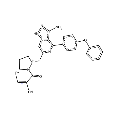 CC(C)/C=C(/C#N)C(=O)N1CCC[C@@H]1Cc1cc2[nH]nc(N)c2c(-c2ccc(Oc3ccccc3)cc2)n1